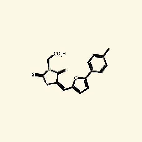 Cc1ccc(-c2ccc(C=C3SC(=S)N(CC(=O)O)C3=O)o2)cc1